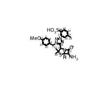 COc1ccc(Cn2nnnc2C2N3C(=O)C(N)[C@H]3SC2(C)C)cc1.Cc1ccc(S(=O)(=O)O)cc1